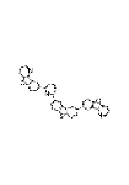 c1cc(-c2ccc3sc4ccc(-c5ccc6oc7cccnc7c6c5)cc4c3c2)nc(-c2ccc3oc4cccnc4c3c2)c1